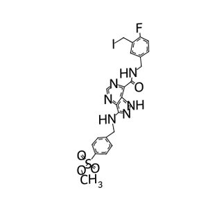 COS(=O)(=O)c1ccc(CNc2n[nH]c3c(C(=O)NCc4ccc(F)c(CI)c4)ncnc23)cc1